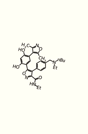 CCCCN(CC)Cc1ccc(-c2c(C(=O)NCC)noc2-c2cc(-c3c(C)noc3C)c(O)cc2O)cc1